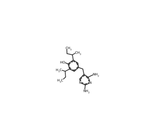 CCC(C)c1cc(Cc2cnc(N)nc2N)cc(C(C)CC)c1O